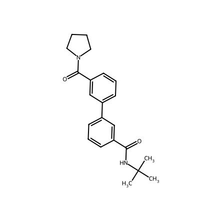 CC(C)(C)NC(=O)c1cccc(-c2cccc(C(=O)N3CCCC3)c2)c1